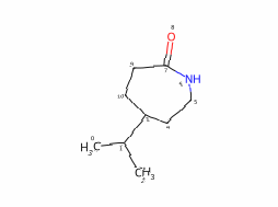 CC(C)C1CCNC(=O)CC1